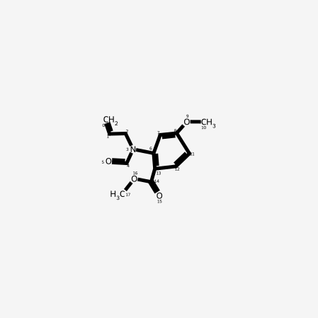 C=CCN(C=O)c1cc(OC)ccc1C(=O)OC